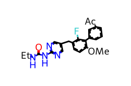 CCNC(=O)Nc1ncc(Cc2ccc(OC)c(-c3cccc(C(C)=O)c3)c2F)cn1